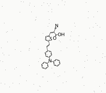 N#CC(=Cc1ccc(C=Cc2ccc(N(c3ccccc3)c3ccccc3)cc2)s1)C(=O)O